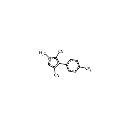 Cn1cc(C#N)c(-c2ccc(C(F)(F)F)cc2)c1C#N